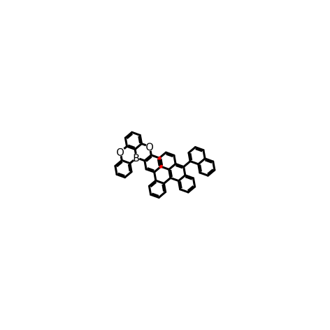 c1ccc2c(c1)Oc1cccc3c1B2c1cc(-c2ccccc2-c2c4ccccc4c(-c4cccc5ccccc45)c4ccccc24)ccc1O3